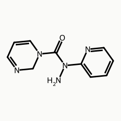 NN(C(=O)N1C=CC=NC1)c1ccccn1